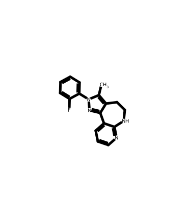 Cc1c2c(nn1-c1ccccc1F)-c1cccnc1NCC2